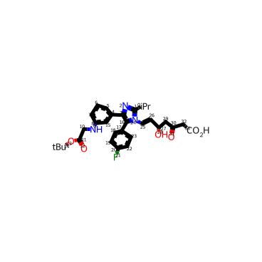 CC(C)c1nc(-c2cccc(NCC(=O)OC(C)(C)C)c2)c(-c2ccc(F)cc2)n1/C=C/C(O)CC(=O)CC(=O)O